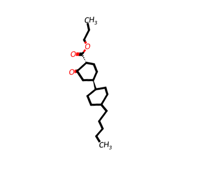 CCCCCC1CCC([C@@H]2CC[C@@H](C(=O)OCCC)C(=O)C2)CC1